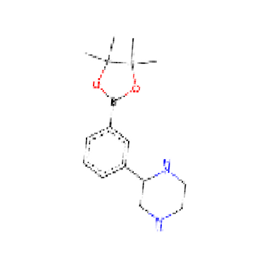 CC1(C)OB(c2cccc(C3CNCCN3)c2)OC1(C)C